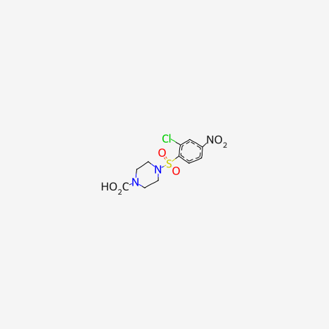 O=C(O)N1CCN(S(=O)(=O)c2ccc([N+](=O)[O-])cc2Cl)CC1